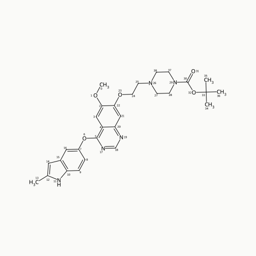 COc1cc2c(Oc3ccc4[nH]c(C)cc4c3)ncnc2cc1OCCN1CCN(C(=O)OC(C)(C)C)CC1